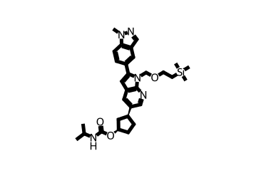 CC(C)NC(=O)O[C@@H]1CC[C@H](c2cnc3c(c2)cc(-c2ccc4c(cnn4C)c2)n3COCC[Si](C)(C)C)C1